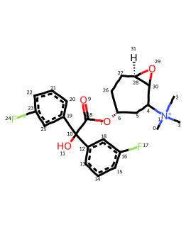 C[N+](C)(C)C1C[C@H](OC(=O)C(O)(c2cccc(F)c2)c2cccc(F)c2)CC[C@H]2OC12